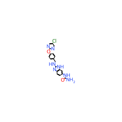 NC(=O)Nc1ccc2nc(NCc3ccc(Oc4ncc(Cl)cn4)cc3)[nH]c2c1